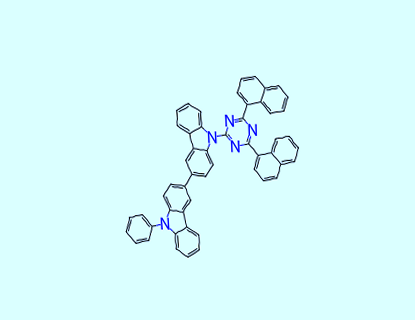 c1ccc(-n2c3ccccc3c3cc(-c4ccc5c(c4)c4ccccc4n5-c4nc(-c5cccc6ccccc56)nc(-c5cccc6ccccc56)n4)ccc32)cc1